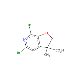 CC1(C(=O)O)COc2c1cc(Br)nc2Br